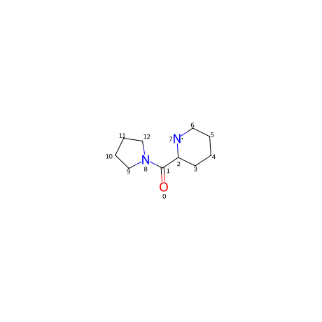 O=C(C1CCCC[N]1)N1CCCC1